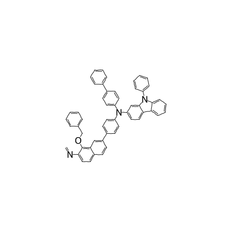 C=Nc1ccc2ccc(-c3ccc(N(c4ccc(-c5ccccc5)cc4)c4ccc5c6ccccc6n(-c6ccccc6)c5c4)cc3)cc2c1OCc1ccccc1